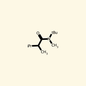 CC(C)C(C)C(=O)N(C)C(C)(C)C